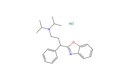 CC(C)N(CCC(c1ccccc1)c1nc2ccccc2o1)C(C)C.Cl